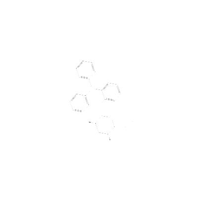 OC[C@H]1O[C@@H](Oc2ccccc2P(c2ccccc2)c2ccccc2)[C@H](O)[C@@H](O)[C@@H]1O